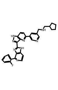 Fc1ccccc1-c1nccc2[nH]c(-c3n[nH]c4ccc(-c5cncc(CNCC6CCCC6)c5)nc34)nc12